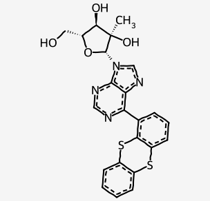 C[C@@]1(O)[C@H](O)[C@@H](CO)O[C@H]1n1cnc2c(-c3cccc4c3Sc3ccccc3S4)ncnc21